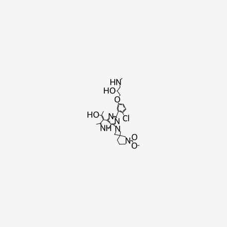 CNC[C@@H](O)COc1ccc(Cl)c(-c2nc(/C(C(C)=N)=C(\C)O)c(C)c(N3CC4(CCCN(C(=O)OC)C4)C3)n2)c1